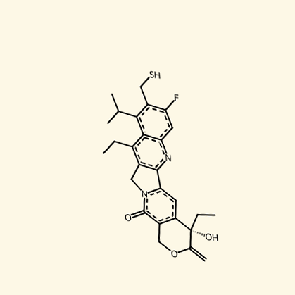 C=C1OCc2c(cc3n(c2=O)Cc2c-3nc3cc(F)c(CS)c(C(C)C)c3c2CC)[C@@]1(O)CC